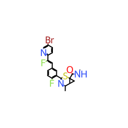 CNC(=O)C12CC1C(C)N=C(c1cc(/C=C(\F)c3ccc(Br)cn3)ccc1F)S2